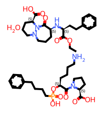 CCOC(=O)[C@H](CCc1ccccc1)N[C@H]1CCCN2CCC[C@@H](C(=O)O)N2C1=O.NCCCC[C@H](OP(=O)(O)CCCCc1ccccc1)C(=O)N1CCC[C@H]1C(=O)O.O